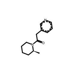 C[C@H]1CCCCN1C(=O)Cc1cccnc1